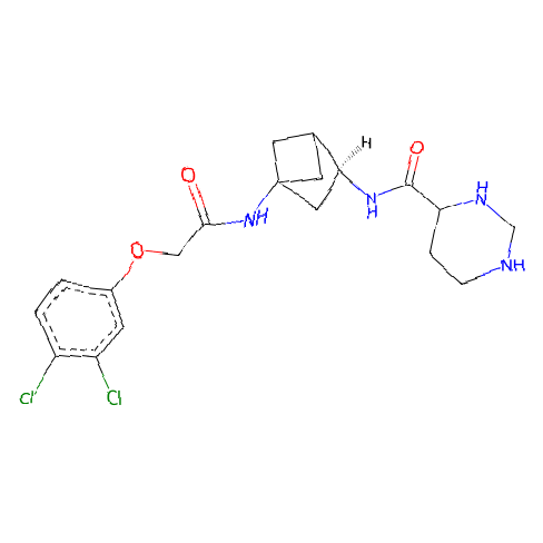 O=C(COc1ccc(Cl)c(Cl)c1)NC12CC(C1)[C@@H](NC(=O)C1CCNCN1)C2